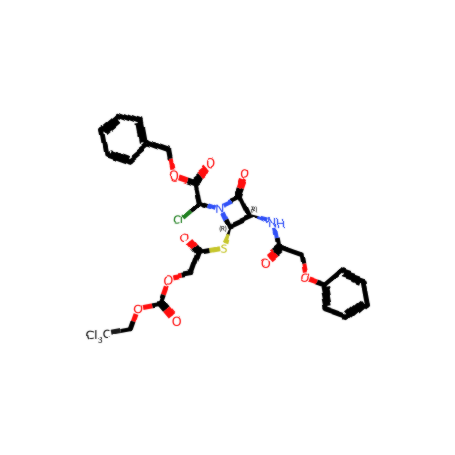 O=C(COc1ccccc1)N[C@@H]1C(=O)N(C(Cl)C(=O)OCc2ccccc2)[C@@H]1SC(=O)COC(=O)OCC(Cl)(Cl)Cl